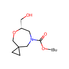 CC(C)(C)OC(=O)N1C[C@@H](CO)OCC2(CC2)C1